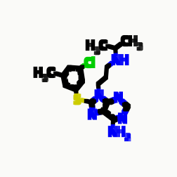 Cc1cc(Cl)cc(Sc2nc3c(N)ncnc3n2CCCNC(C)C)c1